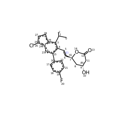 CC(C)c1c(/C=C/[C@@H]2C[C@@H](O)CC(=O)O2)c(-c2ccc(F)cc2)nn2c(Cl)ccc12